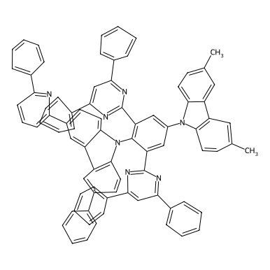 Cc1ccc2c(c1)c1cc(C)ccc1n2-c1cc(-c2nc(-c3ccccc3)cc(-c3ccccc3)n2)c(-n2c3ccc(-c4ccccc4)cc3c3cc(-c4cccc(-c5ccccc5)n4)ccc32)c(-c2nc(-c3ccccc3)cc(-c3ccccc3)n2)c1